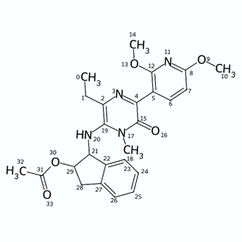 CCc1nc(-c2ccc(OC)nc2OC)c(=O)n(C)c1NC1c2ccccc2CC1OC(C)=O